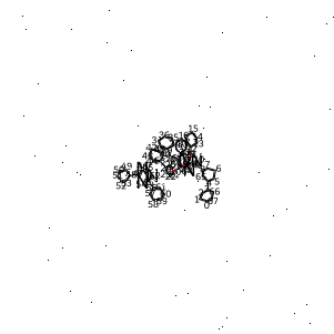 c1ccc(-c2cccc(-c3nc(-c4ccccc4)nc(-c4cccc5c4C4(c6ccccc6Oc6ccccc64)c4cccc(-c6nc(-c7ccccc7)nc(-c7ccccc7)n6)c4-5)n3)c2)cc1